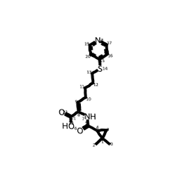 CC1(C)CC1C(=O)N/C(=C\CCCCSc1ccncc1)C(=O)O